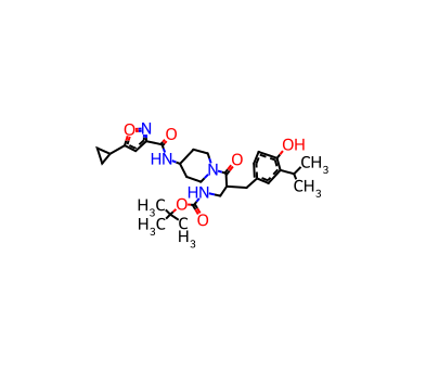 CC(C)c1cc(CC(CNC(=O)OC(C)(C)C)C(=O)N2CCC(NC(=O)c3cc(C4CC4)on3)CC2)ccc1O